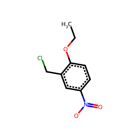 CCOc1ccc([N+](=O)[O-])cc1CCl